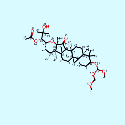 COCO[C@H](OC)O[C@H]1CC[C@]23C[C@]24CC[C@]2(C)[C@H]5[C@H](C)C[C@H]([C@H](OC(C)=O)C(C)(C)O)O[C@@H]5C(=O)[C@@]2(C)[C@@H]4CC[C@H]3C1(C)C